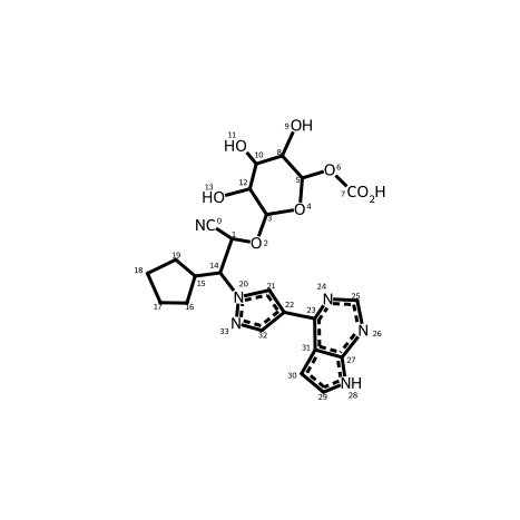 N#CC(OC1OC(OC(=O)O)C(O)C(O)C1O)C(C1CCCC1)n1cc(-c2ncnc3[nH]ccc23)cn1